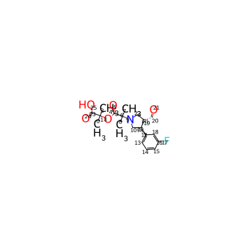 CC(C)(OC(=O)C(C)(C)N1C[C@H](c2cccc(F)c2)[C@@H](C=O)C1)C(=O)O